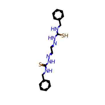 S=C(NCc1ccccc1)N/N=C/C=N/NC(S)NCc1ccccc1